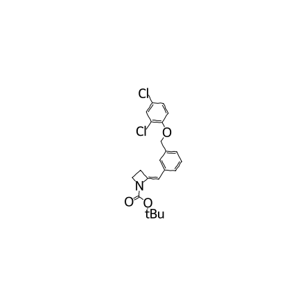 CC(C)(C)OC(=O)N1CCC1=Cc1cccc(COc2ccc(Cl)cc2Cl)c1